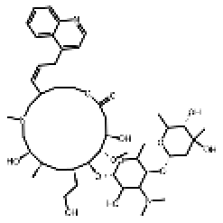 CO[C@@H]1[C@@H](O[C@@H]2OC(C)[C@@H](O[C@H]3CC(C)(O)[C@@H](O)C(C)O3)C(N(C)C)C2O)[C@@H](CCO)C[C@@H](C)[C@@H](O)CN(C)CC(/C=C\Cc2ccnc3ccccc23)CCOC(=O)C[C@H]1O